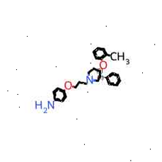 Cc1ccccc1O[C@H]1CCN(CCCOc2ccc(N)cc2)C[C@H]1c1ccccc1